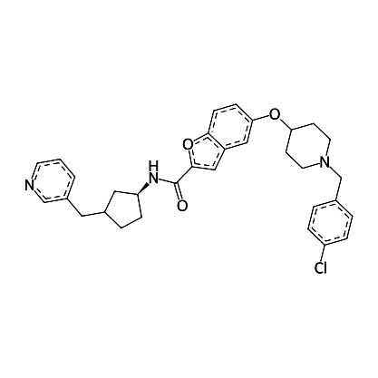 O=C(N[C@H]1CCC(Cc2cccnc2)C1)c1cc2cc(OC3CCN(Cc4ccc(Cl)cc4)CC3)ccc2o1